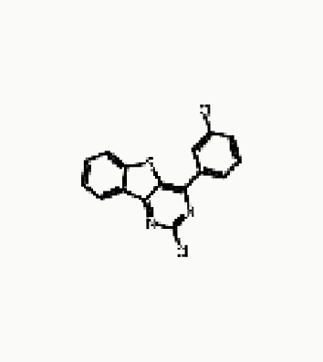 Clc1cccc(-c2nc(Cl)nc3c2sc2ccccc23)c1